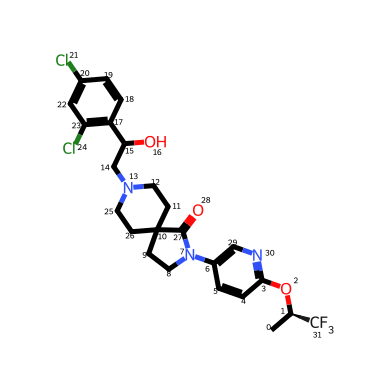 C[C@@H](Oc1ccc(N2CCC3(CCN(CC(O)c4ccc(Cl)cc4Cl)CC3)C2=O)cn1)C(F)(F)F